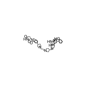 O=C1CCC(N2Cc3ccc(C4CCN(CCCN5CCC(CN6CCN7c8cc(-c9ccccc9O)nnc8NC[C@H]7C6)CC5)CC4)cc3C2=O)C(=O)N1